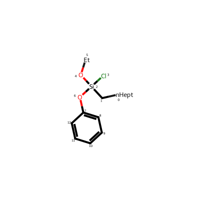 CCCCCCCC[Si](Cl)(OCC)Oc1ccccc1